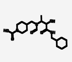 CC(C(O)C(=O)NCC1CCCCC1)N(C=O)CC1CCN(C(=O)O)CC1